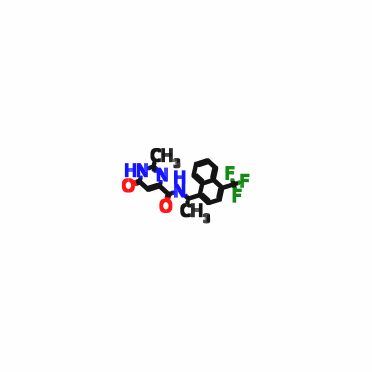 Cc1nc(C(=O)N[C@H](C)c2ccc(C(F)(F)F)c3ccccc23)cc(=O)[nH]1